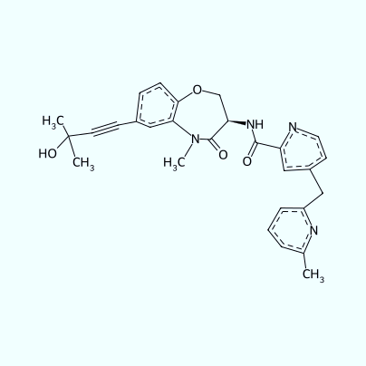 Cc1cccc(Cc2ccnc(C(=O)N[C@@H]3COc4ccc(C#CC(C)(C)O)cc4N(C)C3=O)c2)n1